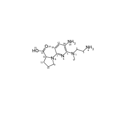 CN(CCN)c1nc(N2CCCC2C(=O)O)ccc1N